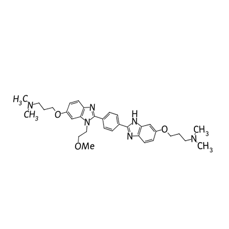 COCCn1c(-c2ccc(-c3nc4ccc(OCCCN(C)C)cc4[nH]3)cc2)nc2ccc(OCCCN(C)C)cc21